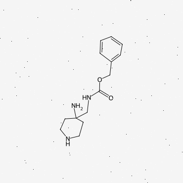 NC1(CNC(=O)OCc2ccccc2)CCNCC1